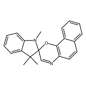 CN1c2ccccc2C(C)(C)C12C=Nc1ccc3ccccc3c1O2